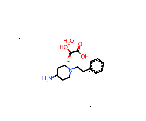 NC1CCN(CCc2ccccc2)CC1.O.O=C(O)C(=O)O